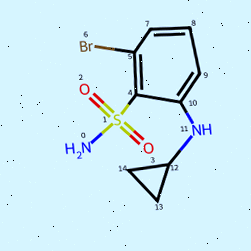 NS(=O)(=O)c1c(Br)cccc1NC1CC1